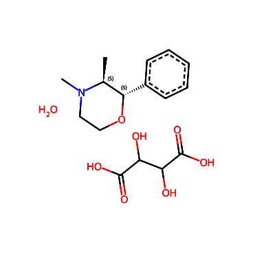 C[C@H]1[C@H](c2ccccc2)OCCN1C.O.O=C(O)C(O)C(O)C(=O)O